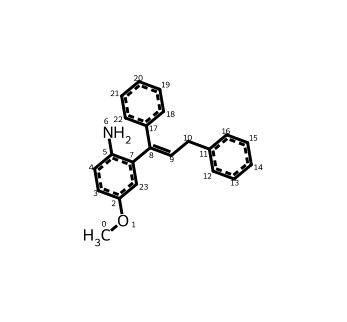 COc1ccc(N)c(C(=CCc2ccccc2)c2ccccc2)c1